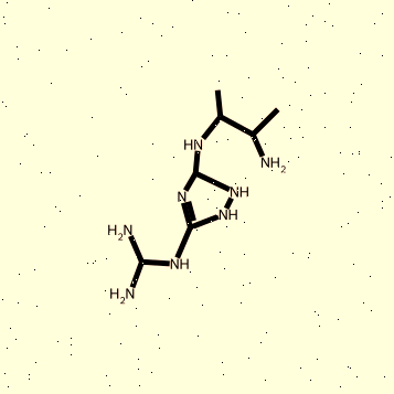 CC(N)C(C)NC1N=C(NC(N)N)NN1